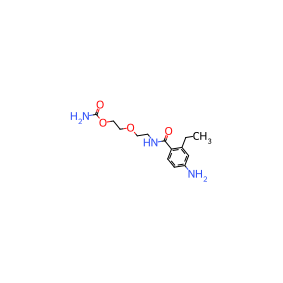 CCc1cc(N)ccc1C(=O)NCCOCCOC(N)=O